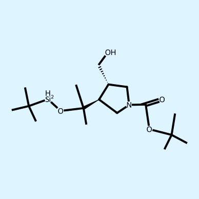 CC(C)(C)OC(=O)N1C[C@@H](CO)[C@H](C(C)(C)O[SiH2]C(C)(C)C)C1